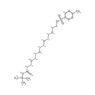 Cc1ccc(S(=O)(=O)OCCOCCOCCOCCOCCC(=O)OC(C)(C)C)cc1